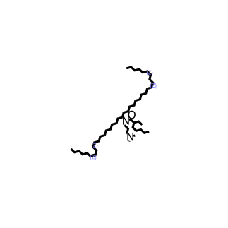 CCCCC/C=C\C/C=C\CCCCCCCCCC(CCCCCCCC/C=C\C/C=C\CCCCC)N(CCCN(C)C)C(=O)C(CC)CCCCC